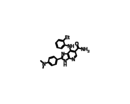 CCc1ccccc1Nc1c(C(N)=O)cnc2[nH]c(-c3ccc(N(C)C)cc3)nc12